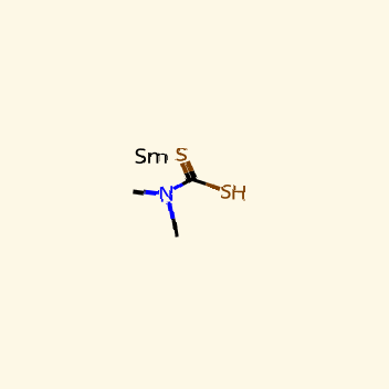 CN(C)C(=S)S.[Sm]